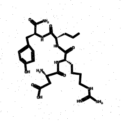 CCC[C@H](NC(=O)[C@H](CCCCNC(=N)N)NC(=O)[C@@H](N)CC(=O)O)C(=O)N[C@@H](Cc1ccc(O)cc1)C(N)=O